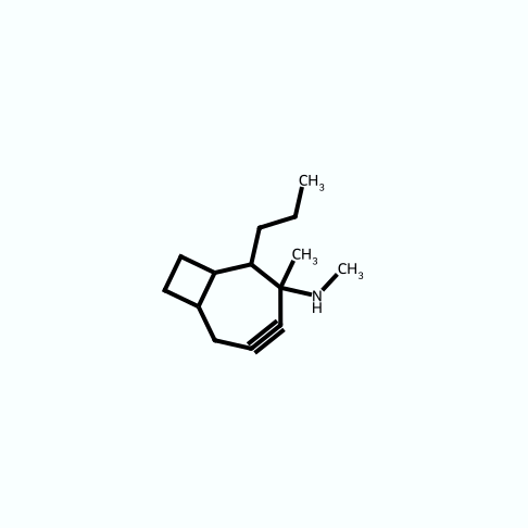 CCCC1C2CCC2CC#CC1(C)NC